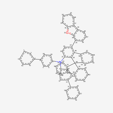 c1ccc(-c2ccc(N(c3ccc(-c4ccccc4)cc3)c3ccc(-c4cccc5c4oc4ccccc45)c4c3C3(c5ccccc5-c5ccccc53)c3ccccc3-4)cc2)cc1